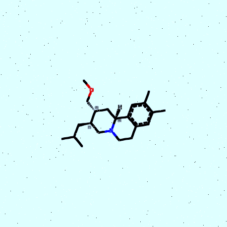 COC[C@@H]1C[C@@H]2c3cc(C)c(C)cc3CCN2C[C@H]1CC(C)C